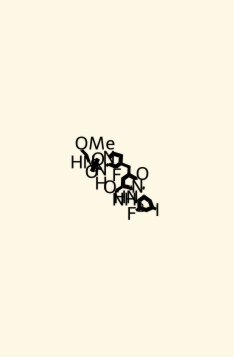 COCCNS(=O)(=O)Nc1nccc(Cc2cc(C(N)=O)c(Nc3ccc(I)cc3F)n(C)c2=O)c1F